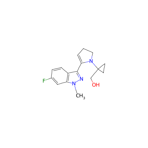 Cn1nc(C2=CCCN2C2(CO)CC2)c2ccc(F)cc21